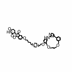 O=C1CCC(N2C(=O)c3ccc(OCCCCCN4CCN(CCOc5ccc6cc5COC/C=C/COCc5cccc(c5)-c5ccnc(n5)N6)CC4)cc3C2=O)C(=O)N1